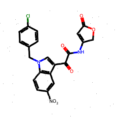 O=C1C=C(NC(=O)C(=O)c2cn(Cc3ccc(Cl)cc3)c3ccc([N+](=O)[O-])cc23)CO1